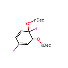 CCCCCCCCCCOC1C=C(I)C=CC1(I)OCCCCCCCCCC